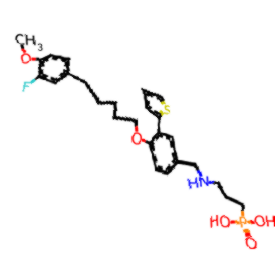 COc1ccc(CCCCCOc2ccc(CNCCCP(=O)(O)O)cc2-c2cccs2)cc1F